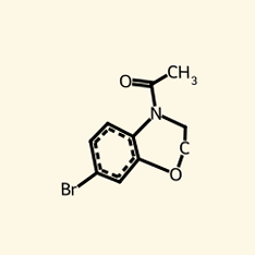 CC(=O)N1CCOc2cc(Br)ccc21